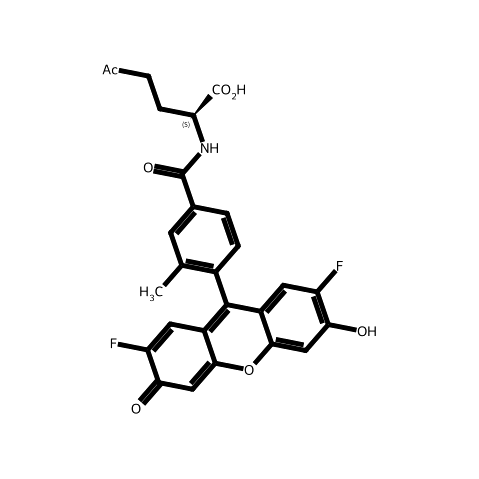 CC(=O)CC[C@H](NC(=O)c1ccc(-c2c3cc(F)c(=O)cc-3oc3cc(O)c(F)cc23)c(C)c1)C(=O)O